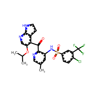 Cc1cnc(C(=O)c2c(OC(C)C)cnc3[nH]ccc23)c(NS(=O)(=O)c2ccc(Cl)c(C(F)(F)F)c2)c1